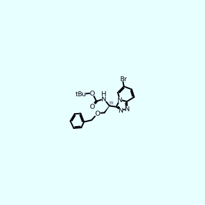 CC(C)(C)OC(=O)N[C@H](COCc1ccccc1)c1nnc2ccc(Br)cn12